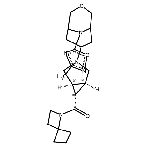 Cc1noc(N2C3COCC2CC(N2C[C@@H]4[C@H](C2)[C@H]4C(=O)N2CCC24CCC4)C3)n1